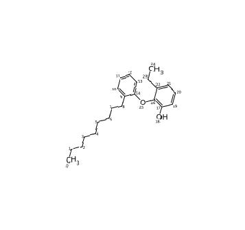 CCCCCCCCCc1ccccc1Oc1c(O)cccc1CC